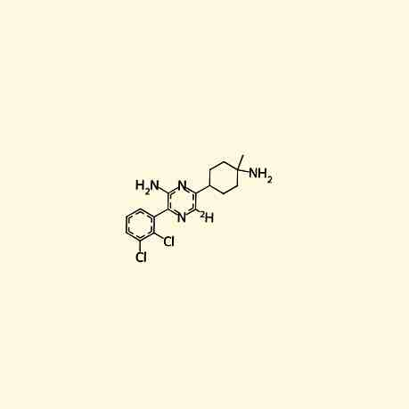 [2H]c1nc(-c2cccc(Cl)c2Cl)c(N)nc1C1CCC(C)(N)CC1